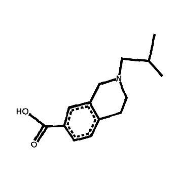 CC(C)CN1CCc2ccc(C(=O)O)cc2C1